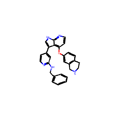 c1ccc(CNc2cc(-c3c[nH]c4nccc(Oc5ccc6c(c5)CNCC6)c34)ccn2)cc1